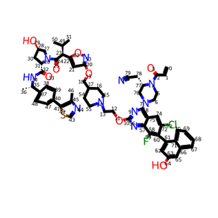 C=CC(=O)N1CCN(c2nc(OCCN3CCC(COc4cc([C@@H](C(=O)N5C[C@H](O)C[C@H]5C(=O)N[C@@H](C)c5ccc(-c6scnc6C)cc5)C(C)C)on4)CC3)nc3c(F)c(-c4cc(O)cc5ccccc45)c(Cl)cc23)C[C@@H]1CC#N